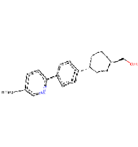 CCCCCCc1ccc(-c2ccc([C@H]3CC[C@H](CO)CC3)cc2)nc1